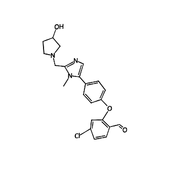 Cn1c(-c2ccc(Oc3cc(Cl)ccc3C=O)cc2)cnc1CN1CCC(O)C1